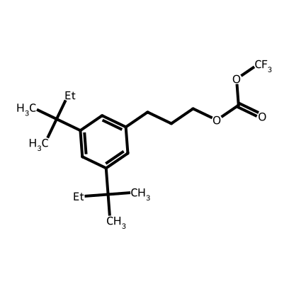 CCC(C)(C)c1cc(CCCOC(=O)OC(F)(F)F)cc(C(C)(C)CC)c1